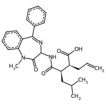 C=CC[C@H](C(=O)O)[C@@H](CC(C)C)C(=O)NC1N=C(c2ccccc2)c2ccccc2N(C)C1=O